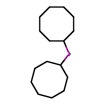 C1CCCC([I]C2CCCCCCC2)CCC1